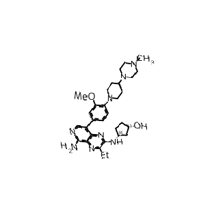 CCc1nc2c(N)ncc(-c3ccc(N4CCC(N5CCN(C)CC5)CC4)c(OC)c3)c2nc1N[C@@H]1CC[C@H](O)C1